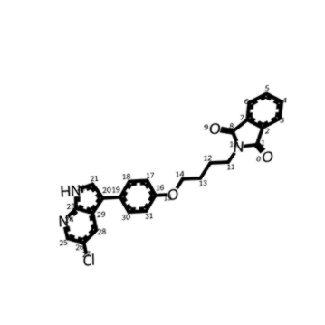 O=C1c2ccccc2C(=O)N1CCCCOc1ccc(-c2c[nH]c3ncc(Cl)cc23)cc1